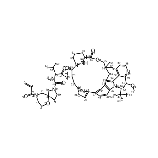 C=CC(=O)N1CCO[C@]2(CCN(C(=O)N(C)[C@H](C(=O)N[C@H]3Cc4nc(cs4)-c4ccc5c(c4)c(c(-c4cccnc4[C@H](C)OC)n5CC(F)(F)F)CC(C)(C)COC(=O)[C@@H]4CCCN(N4)C3=O)C(C)C)C2)C1